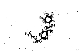 CC(OCC(F)(F)F)Oc1ncc(S(=O)(=O)Nc2cc(F)c(F)c(F)c2)cn1